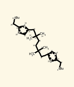 CC(C)(C)Cc1ncc(CC(C)(C)CCC(C)(C)Cc2cnc(CC(C)(C)C)s2)s1